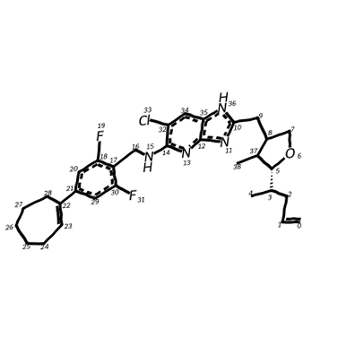 C=CCC(C)[C@H]1OCC(Cc2nc3nc(NCc4c(F)cc(C5=CCCCCC5)cc4F)c(Cl)cc3[nH]2)C1C